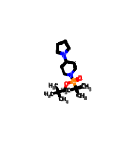 CC(C)(C)COP(=O)(N1CCC(N2CCCC2)CC1)C(C)(C)C